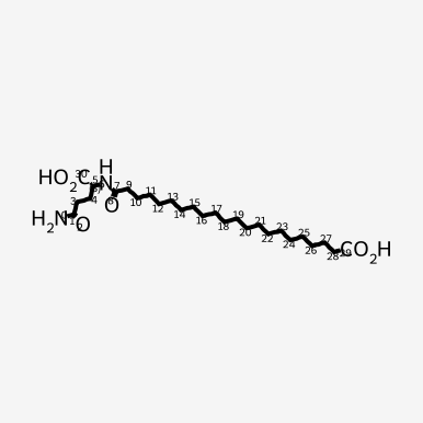 NC(=O)CC[C@H](NC(=O)CCCCCCCCCCCCCCCCCCCCC(=O)O)C(=O)O